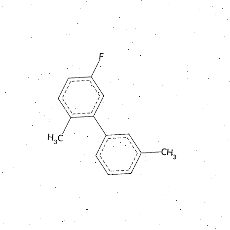 Cc1cccc(-c2cc(F)ccc2C)c1